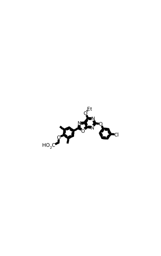 CCOc1nc(Oc2cccc(Cl)c2)nc2oc(-c3cc(C)c(OCC(=O)O)c(C)c3)nc12